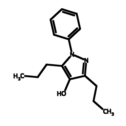 CCCc1nn(-c2ccccc2)c(CCC)c1O